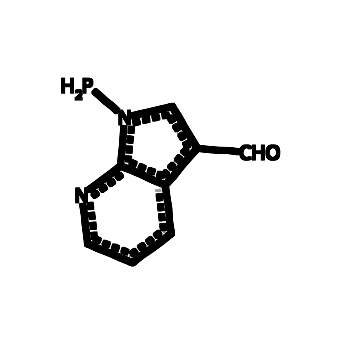 O=Cc1cn(P)c2ncccc12